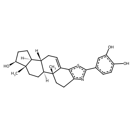 C[C@]12CC[C@H]3[C@@H](CC=C4c5sc(-c6ccc(O)c(O)c6)nc5CC[C@@]43C)[C@@H]1CC[C@@H]2O